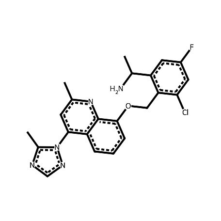 Cc1cc(-n2ncnc2C)c2cccc(OCc3c(Cl)cc(F)cc3C(C)N)c2n1